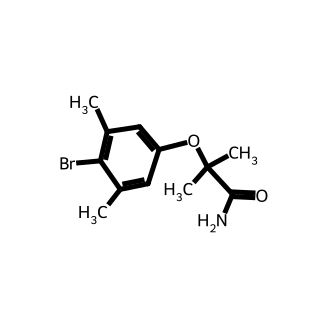 Cc1cc(OC(C)(C)C(N)=O)cc(C)c1Br